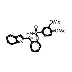 COc1ccc(S(=O)(=O)N[C@H](c2ccccc2)c2cc3ccccc3s2)cc1OC